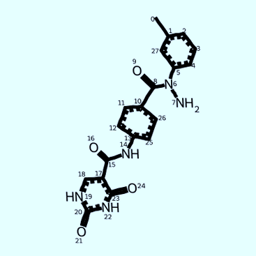 Cc1cccc(N(N)C(=O)c2ccc(NC(=O)c3c[nH]c(=O)[nH]c3=O)cc2)c1